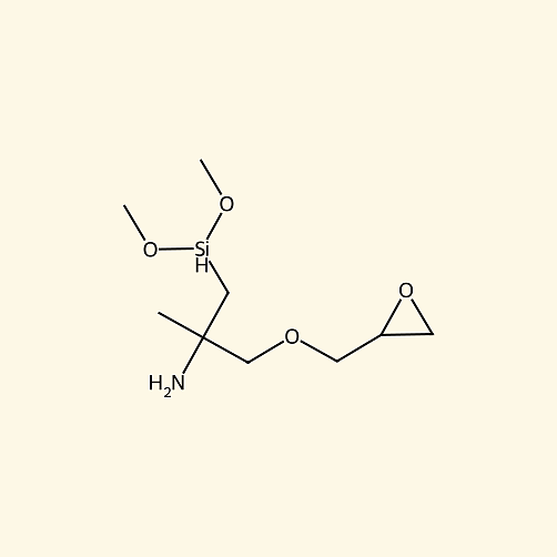 CO[SiH](CC(C)(N)COCC1CO1)OC